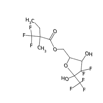 CCC(C)(C(=O)OCC1OC(O)(C(F)(F)F)C(F)(F)C1O)C(F)(F)F